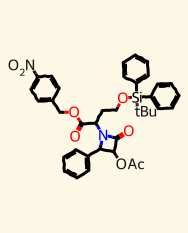 CC(=O)OC1C(=O)N(C(CCO[Si](c2ccccc2)(c2ccccc2)C(C)(C)C)C(=O)OCc2ccc([N+](=O)[O-])cc2)C1c1ccccc1